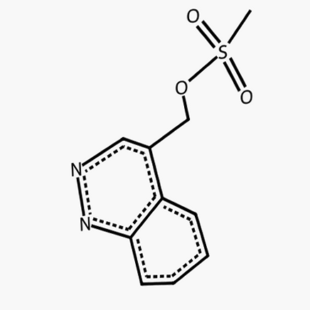 CS(=O)(=O)OCc1cnnc2ccccc12